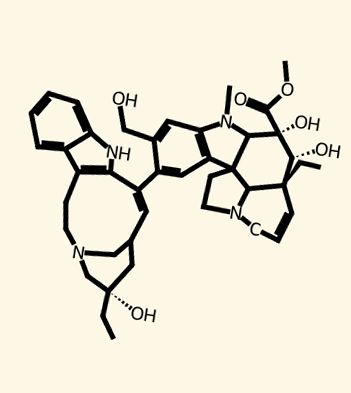 CC[C@]1(O)CC2/C=C(/c3cc4c(cc3CO)N(C)C3C45CCN4CC=C[C@](CC)(C45)[C@@H](O)[C@]3(O)C(=O)OC)c3[nH]c4ccccc4c3CCN(C2)C1